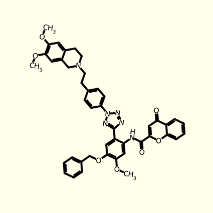 COc1cc2c(cc1OC)CN(CCc1ccc(-n3nnc(-c4cc(OCc5ccccc5)c(OC)cc4NC(=O)c4cc(=O)c5ccccc5o4)n3)cc1)CC2